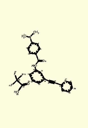 CN(C)c1ccc(C(=O)Nc2cccc(C#Cc3ccccn3)c2)cc1.O=C(O)C(F)(F)F